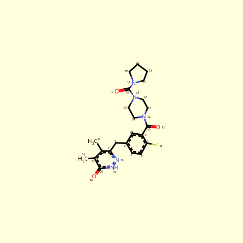 Cc1c(Cc2ccc(F)c(C(=O)N3CCN(C(=O)N4CCCC4)CC3)c2)n[nH]c(=O)c1C